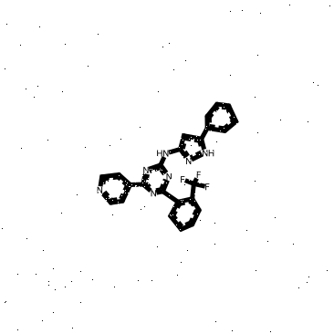 FC(F)(F)c1ccccc1-c1nc(Nc2cc(-c3ccccc3)[nH]n2)nc(-c2ccncc2)n1